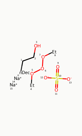 CCCCCCCCCCCCO.CCOOOCC.O=S(=O)([O-])[O-].[Na+].[Na+]